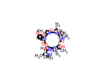 CC[C@H](C)[C@H]1NC(=O)[C@@H](NC(=O)[C@@H](CC(C)C)NC)[C@@H](C)OC(=O)[C@H](Cc2ccc(OC)cc2)N(C)C(=O)C2CCCN2C(=O)[C@H](CC(C)C)NC(=O)[C@H](C(C)C)NC(=O)C[C@@H]1O